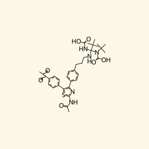 CC(=O)Nc1nc(-c2ccc(CCCNC(NC(=O)O)(N(C(=O)O)C(C)(C)C)C(C)(C)C)cc2)c(-c2ccc(S(C)(=O)=O)cc2)s1